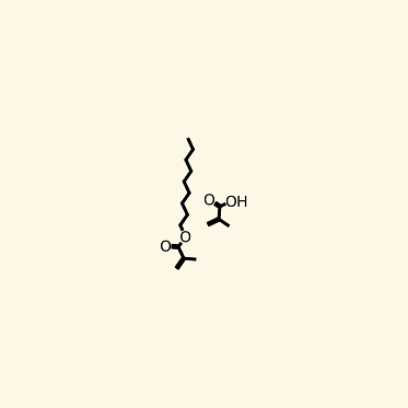 C=C(C)C(=O)O.C=C(C)C(=O)OCCCCCCCCC